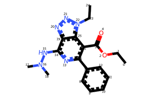 CCOC(=O)c1c(-c2ccccc2)nc(NN(C)C)c2nnn(CC)c12